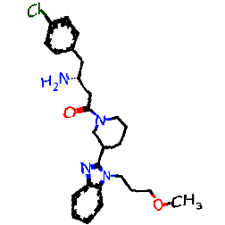 COCCCn1c(C2CCCN(C(=O)C[C@H](N)Cc3ccc(Cl)cc3)C2)nc2ccccc21